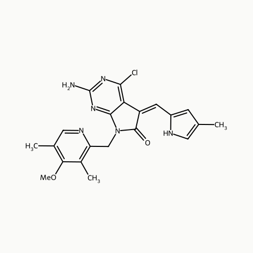 COc1c(C)cnc(CN2C(=O)/C(=C\c3cc(C)c[nH]3)c3c(Cl)nc(N)nc32)c1C